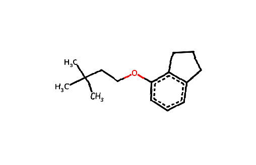 CC(C)(C)CCOc1cccc2c1CCC2